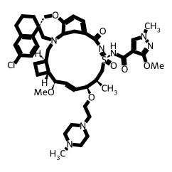 COc1nn(C)cc1C(=O)N[S@@]1(=O)=NC(=O)C2=CC=C3OC[C@]4(CCCc5cc(Cl)ccc54)CN(C[C@@H]4CC[C@H]4[C@@H](OC)/C=C/[C@H](OCCN4CCN(C)CC4)[C@H](C)C1)C3C2